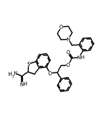 N=C(N)C1Cc2c(OC(COC(=O)Nc3ccccc3CN3CCOCC3)c3ccccc3)cccc2S1